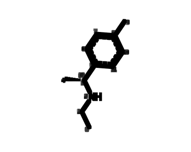 CCN[C@H](C)c1ccc(C)cc1